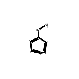 [NH]Nc1[c]cccc1